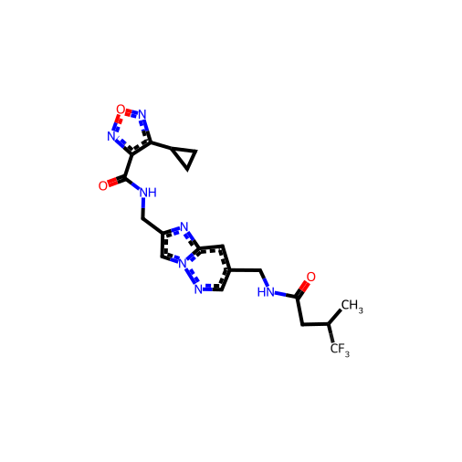 CC(CC(=O)NCc1cnn2cc(CNC(=O)c3nonc3C3CC3)nc2c1)C(F)(F)F